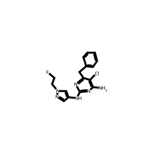 Nc1nc(Nc2cnn(CCF)c2)nc(Cc2ccccc2)c1Cl